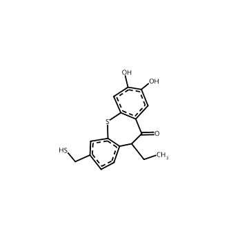 CCC1C(=O)c2cc(O)c(O)cc2Sc2cc(CS)ccc21